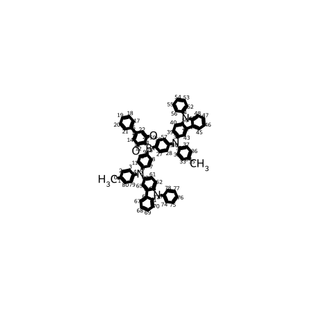 Cc1ccc(N(c2ccc3c(c2)Oc2cc(-c4ccccc4)cc4c2B3c2ccc(N(c3ccc(C)cc3)c3ccc5c(c3)c3ccccc3n5-c3ccccc3)cc2O4)c2ccc3c(c2)c2ccccc2n3-c2ccccc2)cc1